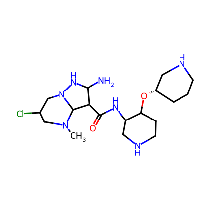 CN1CC(Cl)CN2NC(N)C(C(=O)NC3CNCCC3O[C@H]3CCCNC3)C12